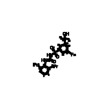 CC(C)c1cccc(C(C)C)c1NC(=O)NS(=O)(=O)c1cc(F)cc(C(C)(C)O)c1